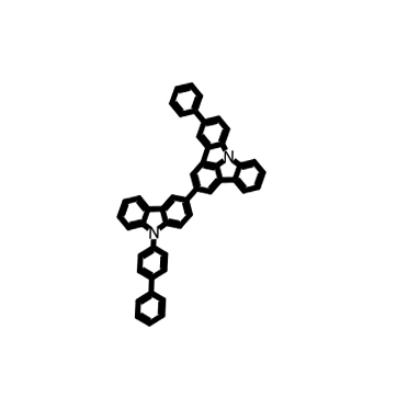 c1ccc(-c2ccc(-n3c4ccccc4c4cc(-c5cc6c7ccccc7n7c8ccc(-c9ccccc9)cc8c(c5)c67)ccc43)cc2)cc1